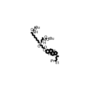 CCC(CCC(C)[C@H]1CC[C@H]2[C@@H]3CC=C4C[C@@H](OC(=O)CCC(=O)N(CCCCCCCC(C)NC(=O)OC(C)(C)C)CCC(C)NC(=O)OC(C)(C)C)CC[C@]4(C)[C@H]3CC[C@]12C)C(C)C